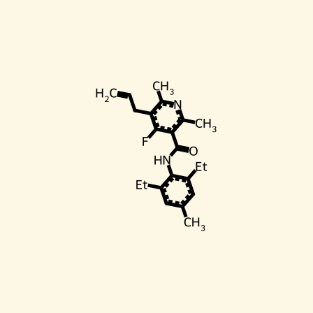 C=CCc1c(C)nc(C)c(C(=O)Nc2c(CC)cc(C)cc2CC)c1F